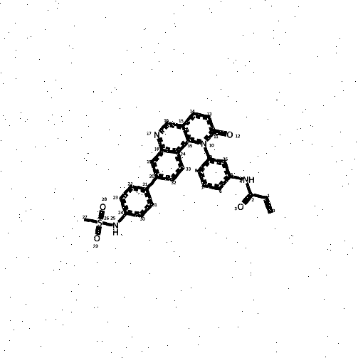 C=CC(=O)Nc1cccc(-n2c(=O)ccc3cnc4cc(-c5ccc(NS(C)(=O)=O)cc5)ccc4c32)c1